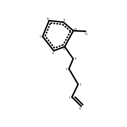 C=CCCCc1ccccc1C